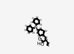 C=CC(=Cc1ccc(N(c2ccccc2)c2ccccc2)cc1)C(=O)O